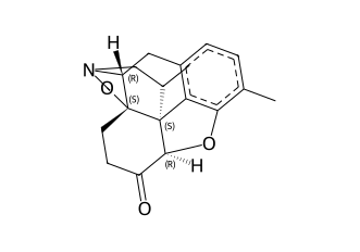 Cc1ccc2c3c1O[C@H]1C(=O)CC[C@]45OCN(CC(C)[C@]314)[C@@H]5C2